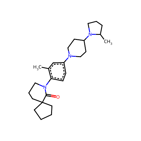 Cc1cc(N2CCC(N3CCCC3C)CC2)ccc1N1CCCC2(CCCC2)C1=O